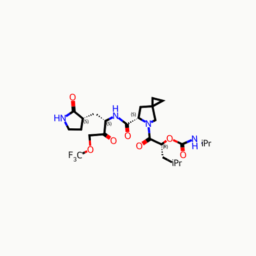 CC(C)C[C@@H](OC(=O)NC(C)C)C(=O)N1CC2(CC2)C[C@H]1C(=O)N[C@@H](C[C@@H]1CCNC1=O)C(=O)COC(F)(F)F